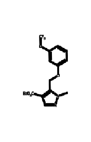 CCOC(=O)c1cnn(C)c1COc1cccc(OC(F)(F)F)c1